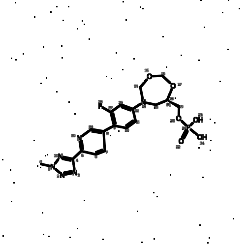 Cn1nnc(-c2ccc(-c3ccc(N4COCO[C@@H](COP(=O)(O)O)C4)cc3F)cn2)n1